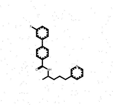 CC(CCCc1cccnc1)NC(=O)c1ccc(-c2cccc(F)c2)cc1